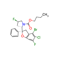 CCCCOC(=O)N1C[C@H](F)C[C@H]1[C@@]1(c2ccccc2)Cc2c(cc(F)c(Cl)c2Br)O1